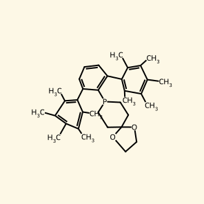 Cc1c(C)c(C)c(-c2cccc(-c3c(C)c(C)c(C)c(C)c3C)c2P2CCC3(CC2)OCCO3)c(C)c1C